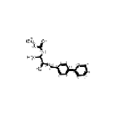 CC(NC(=O)OC(C)(C)C)C(=O)NCc1ccc(-c2ccccc2)cc1